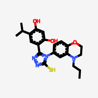 CCCN1CCOc2ccc(-n3c(S)nnc3-c3cc(C(C)C)c(O)cc3O)cc21